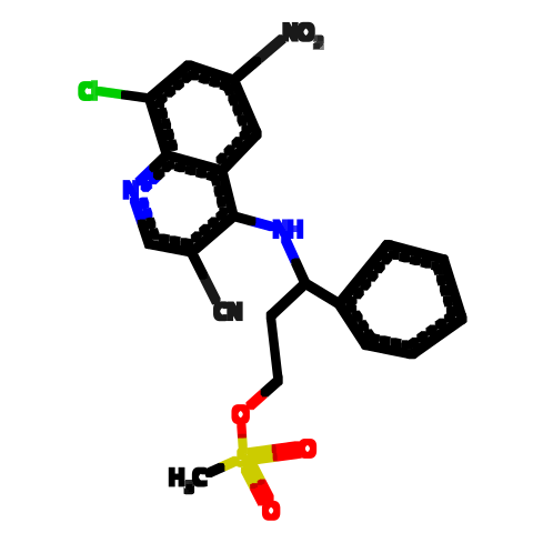 CS(=O)(=O)OCCC(Nc1c(C#N)cnc2c(Cl)cc([N+](=O)[O-])cc12)c1ccccc1